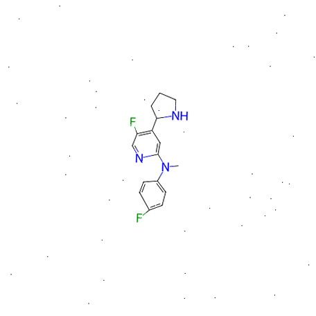 CN(c1ccc(F)cc1)c1cc(C2CCCN2)c(F)cn1